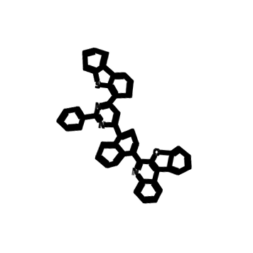 c1ccc(-c2nc(-c3ccc(-c4nc5ccccc5c5c4oc4ccccc45)c4ccccc34)cc(-c3cccc4c3sc3ccccc34)n2)cc1